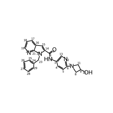 O=C(Nc1ccc(N2CC(O)C2)nc1)c1cc2cccnc2n1Cc1ccccc1